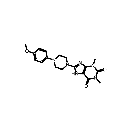 COc1ccc(N2CCN(c3nc4c([nH]3)c(=O)n(C)c(=O)n4C)CC2)cc1